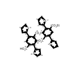 CCOC(=O)c1cc(-c2cccs2)c(C(=O)OCC)cc1-c1cccs1.O=C(O)c1cc(-c2cccs2)c(C(=O)O)cc1-c1cccs1